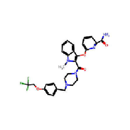 Cn1c(C(=O)N2CCN(Cc3ccc(OCC(F)(F)F)cc3)CC2)c(Oc2cc[c]c(C(N)=O)n2)c2ccccc21